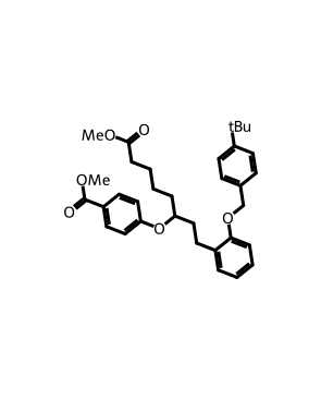 COC(=O)CCCCC(CCc1ccccc1OCc1ccc(C(C)(C)C)cc1)Oc1ccc(C(=O)OC)cc1